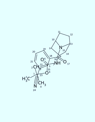 CC(C)(C)OC(=O)NC1CC2CCC(C1)N2C(=O)c1cccc(C#N)c1